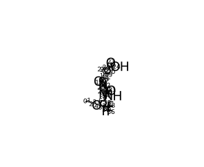 C=CCCOc1cc(C2=NC3(CCN([S+]([O-])CCc4ccc(C(=O)O)cc4C)CC3)C(=O)N2)cc(C(F)(F)F)c1